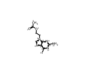 CC(=O)OCCn1cnc2c(I)nc(N)nc21